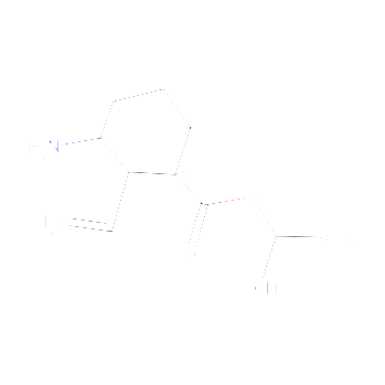 C=CC1C(N)CCCC1C(=O)OC(C)C